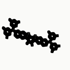 Cc1cc(C)cc(N(c2cc(C)cc(C)c2)c2ccc3cc4c(cc3c2)oc2c3oc5cc6cc(N(c7cc(C)cc(C)c7)c7cc(C)cc(C)c7)ccc6cc5c3c(C)c(C)c42)c1